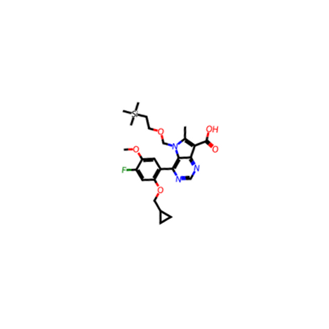 COc1cc(-c2ncnc3c(C(=O)O)c(C)n(COCC[Si](C)(C)C)c23)c(OCC2CC2)cc1F